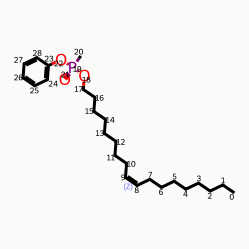 CCCCCCCC/C=C\CCCCCCCCOP(C)(=O)Oc1ccccc1